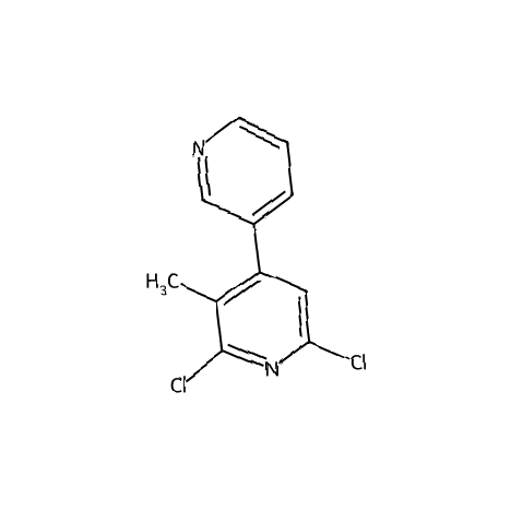 Cc1c(-c2cccnc2)cc(Cl)nc1Cl